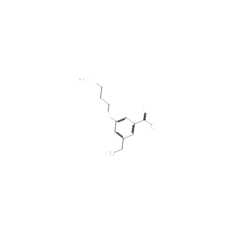 CCC(=O)c1cc(CN)cc(OCCCOC)c1